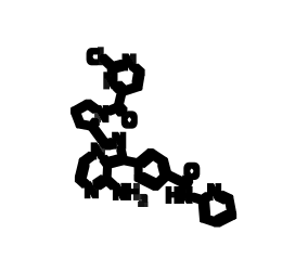 Nc1nccn2c(C3CCCN3C(=O)c3ccnc(Cl)n3)nc(-c3ccc(C(=O)Nc4ccccn4)cc3)c12